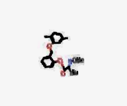 CCCCC(=NOC)C(=O)Oc1ccccc1COc1cc(C)ccc1C